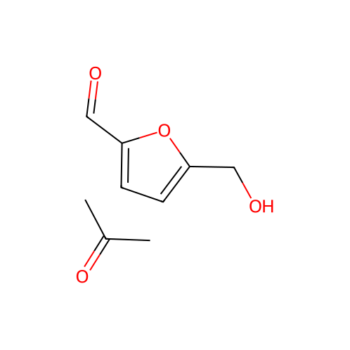 CC(C)=O.O=Cc1ccc(CO)o1